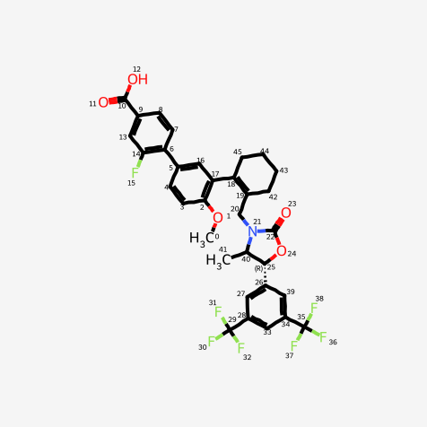 COc1ccc(-c2ccc(C(=O)O)cc2F)cc1C1=C(CN2C(=O)O[C@H](c3cc(C(F)(F)F)cc(C(F)(F)F)c3)C2C)CCCC1